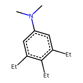 CCc1cc(N(C)C)cc(CC)c1CC